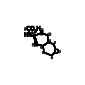 O=C(O)NC1=NC2CCOCC2CS1